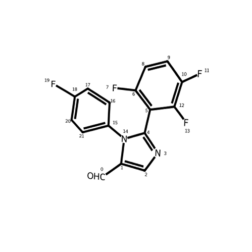 O=Cc1cnc(-c2c(F)ccc(F)c2F)n1-c1ccc(F)cc1